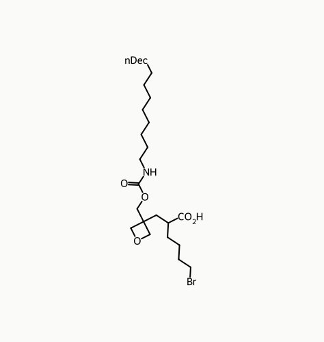 CCCCCCCCCCCCCCCCCCNC(=O)OCC1(CC(CCCCBr)C(=O)O)COC1